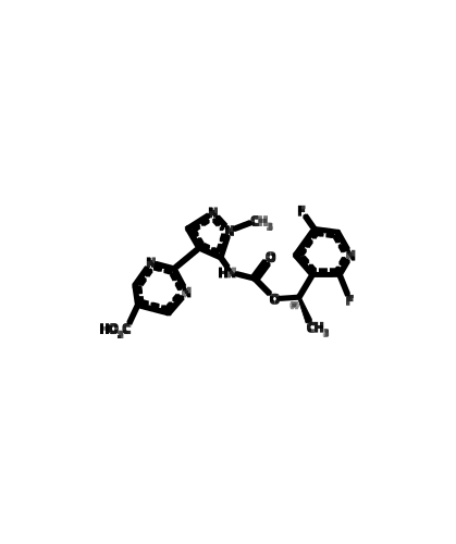 C[C@@H](OC(=O)Nc1c(-c2ncc(C(=O)O)cn2)cnn1C)c1cc(F)cnc1F